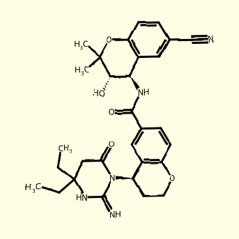 CCC1(CC)CC(=O)N([C@@H]2CCOc3ccc(C(=O)N[C@@H]4c5cc(C#N)ccc5OC(C)(C)[C@H]4O)cc32)C(=N)N1